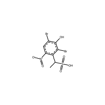 CC(c1c([N+](=O)[O-])cc(Br)c(O)c1Br)S(=O)(=O)O